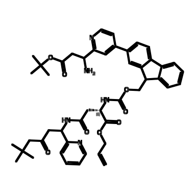 C=CCOC(=O)[C@H](CC(=O)NC(CC(=O)CC(C)(C)C)c1ccccn1)NC(=O)OCC1c2ccccc2-c2ccc(-c3ccnc(C(N)CC(=O)OC(C)(C)C)c3)cc21